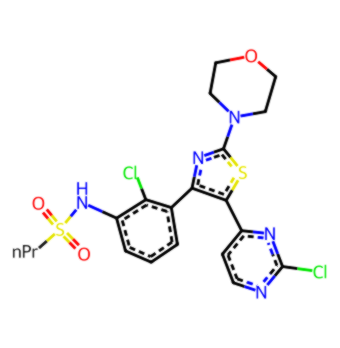 CCCS(=O)(=O)Nc1cccc(-c2nc(N3CCOCC3)sc2-c2ccnc(Cl)n2)c1Cl